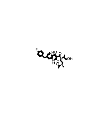 CC(=O)N(C)CCN(C(=O)c1c(O)c2ncc(Cc3ccc(F)cc3)cc2[nH]c1=O)C(C)CO